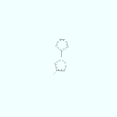 Nc1cnn(-c2cn[nH]c2)c1